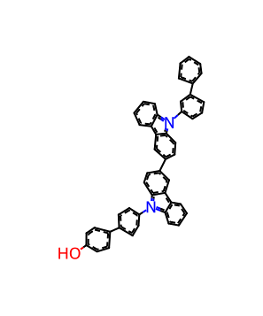 Oc1ccc(-c2ccc(-n3c4ccccc4c4cc(-c5ccc6c(c5)c5ccccc5n6-c5cccc(-c6ccccc6)c5)ccc43)cc2)cc1